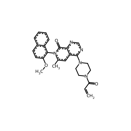 C=CC(=O)N1CCN(c2ncnc3c(=O)n(-c4c(OC)ccc5ccccc45)c(C)cc23)CC1